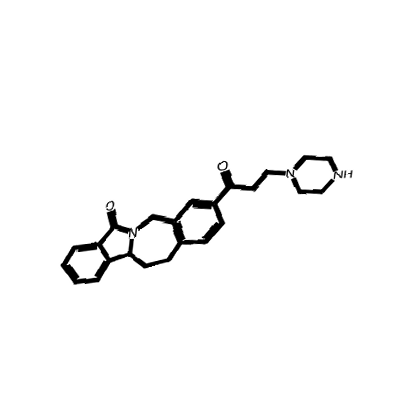 O=C(CCN1CCNCC1)c1ccc2c(c1)CN1C(=O)c3ccccc3C1CC2